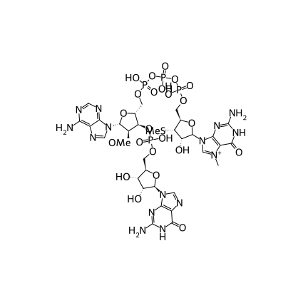 CO[C@@H]1[C@H](OP(=O)(O)OC[C@H]2O[C@@H](n3cnc4c(=O)[nH]c(N)nc43)[C@H](O)[C@@H]2O)[C@@H](COP(=O)(O)OP(=O)(O)OP(=O)(O)OC[C@H]2OC(n3c[n+](C)c4c(=O)[nH]c(N)nc43)[C@H](O)[C@@H]2SC)O[C@H]1n1cnc2c(N)ncnc21